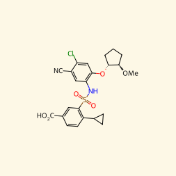 CO[C@@H]1CCC[C@H]1Oc1cc(Cl)c(C#N)cc1NS(=O)(=O)c1cc(C(=O)O)ccc1C1CC1